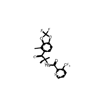 Cc1c(C(=O)C(C)(C)NC(=O)c2ncccc2C(F)(F)F)ccc2c1OC(F)(F)O2